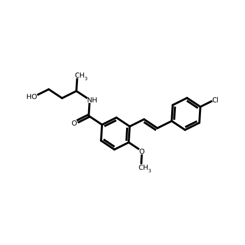 COc1ccc(C(=O)NC(C)CCO)cc1C=Cc1ccc(Cl)cc1